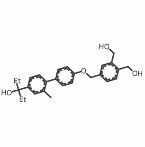 CCC(O)(CC)c1ccc(-c2ccc(OCc3ccc(CO)c(CO)c3)cc2)c(C)c1